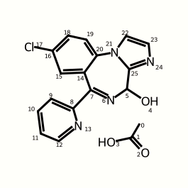 CC(=O)O.OC1N=C(c2ccccn2)c2cc(Cl)ccc2-n2ccnc21